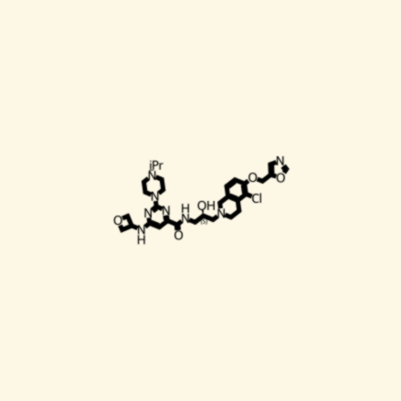 CC(C)N1CCN(c2nc(NC3COC3)cc(C(=O)NC[C@H](O)CN3CCc4c(ccc(OCc5cnco5)c4Cl)C3)n2)CC1